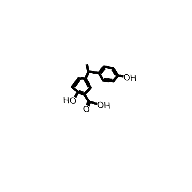 CC(c1ccc(O)cc1)c1ccc(O)c(C(=O)O)c1